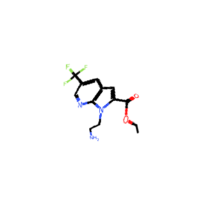 CCOC(=O)c1cc2cc(C(F)(F)F)cnc2n1CCN